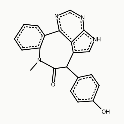 CN1C(=O)C(c2ccc(O)cc2)c2c[nH]c3ncnc(c23)-c2ccccc21